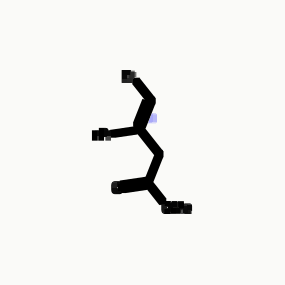 CC/C=C(\CCC)CC(=O)OC